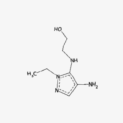 CCn1ncc(N)c1NCCO